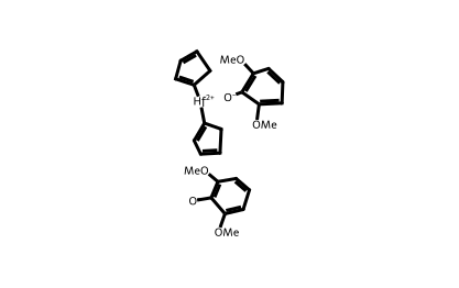 C1=CC[C]([Hf+2][C]2=CC=CC2)=C1.COc1cccc(OC)c1[O-].COc1cccc(OC)c1[O-]